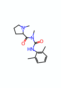 Cc1cccc(C)c1NC(=O)N(C)C(=O)C1CCCN1C